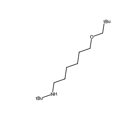 CC(C)(C)COCCCCCCNC(C)(C)C